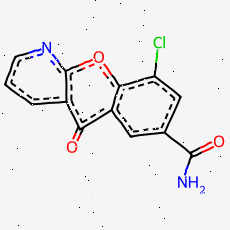 NC(=O)c1cc(Cl)c2oc3ncccc3c(=O)c2c1